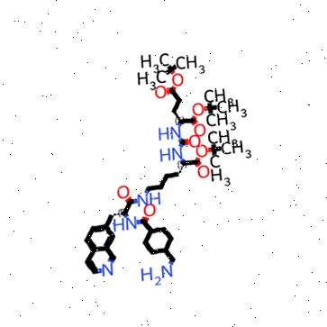 CC(C)(C)OC(=O)CC[C@H](NC(=O)N[C@@H](CCCCNC(=O)[C@@H](Cc1ccc2ccncc2c1)NC(=O)C1CCC(CN)CC1)C(=O)OC(C)(C)C)C(=O)OC(C)(C)C